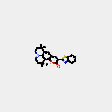 CC[C@]1(C)CCN2CCC(C)(C)c3cc4cc(-c5nc6ccccc6s5)c(=O)oc4c1c32